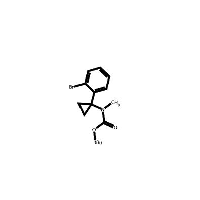 CN(C(=O)OC(C)(C)C)C1(c2ccccc2Br)CC1